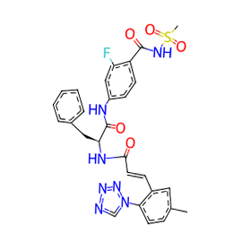 Cc1ccc(-n2cnnn2)c(/C=C/C(=O)N[C@@H](Cc2ccccc2)C(=O)Nc2ccc(C(=O)NS(C)(=O)=O)c(F)c2)c1